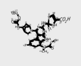 CCC1(Nc2nc(N3CC4CC3CC4NC(=O)OC(C)(C)C)c3c(n2)[nH]c2c(N(C)C(=O)OC(C)(C)C)cc(F)cc23)NC(C(=O)O)=CS1